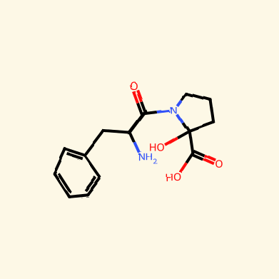 NC(Cc1ccccc1)C(=O)N1CCCC1(O)C(=O)O